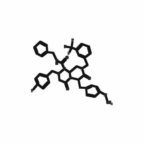 COc1ccc(CC2C(=O)N(Cc3cccc(C(F)(F)F)c3)CC3N2C(=O)CN(Cc2ccc(F)cc2)N3C(=O)NCc2ccccc2)cc1